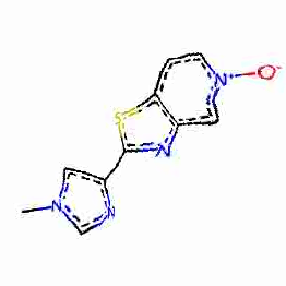 Cn1cnc(-c2nc3c[n+]([O-])ccc3s2)c1